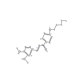 CCCCCOc1ccc(C(=O)/C=C/c2ccc(OC)c(OC)c2)cc1